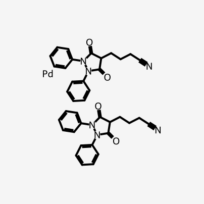 N#CCCCC1C(=O)N(c2ccccc2)N(c2ccccc2)C1=O.N#CCCCC1C(=O)N(c2ccccc2)N(c2ccccc2)C1=O.[Pd]